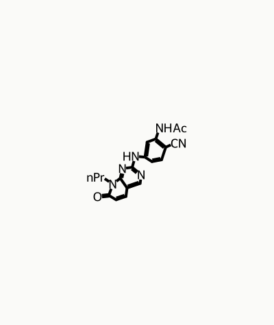 CCCn1c(=O)ccc2cnc(Nc3ccc(C#N)c(NC(C)=O)c3)nc21